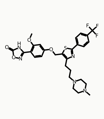 COc1cc(OCc2sc(-c3ccc(C(F)(F)F)cc3)nc2CCCN2CCN(C)CC2)ccc1-c1noc(=O)[nH]1